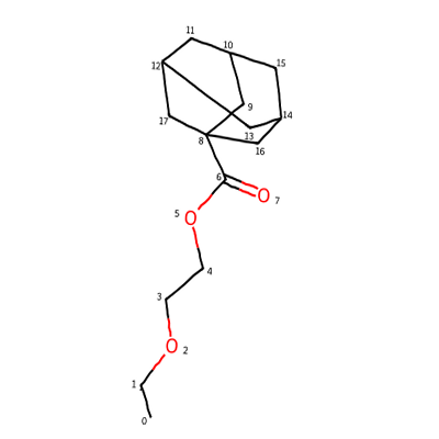 C[CH]OCCOC(=O)C12CC3CC(CC(C3)C1)C2